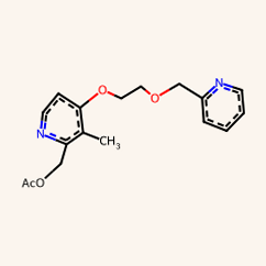 CC(=O)OCc1nccc(OCCOCc2ccccn2)c1C